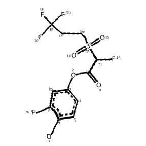 O=C(Oc1ccc(Cl)c(F)c1)C(F)S(=O)(=O)CCC(F)(F)F